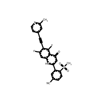 Cc1cc(C#Cc2c(F)cc3[nH]c(-c4cc(C#N)ccc4S(C)(=O)=O)cc(=O)c3c2F)ccn1